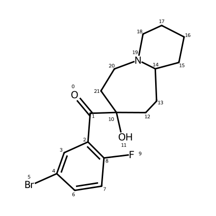 O=C(c1cc(Br)ccc1F)C1(O)CCC2CCCCN2CC1